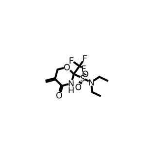 C=C1COC(C(F)(F)F)(S(=O)(=O)N(CC)CC)NC1=O